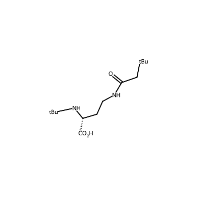 CC(C)(C)CC(=O)NCC[C@@H](NC(C)(C)C)C(=O)O